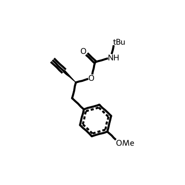 C#C[C@H](Cc1ccc(OC)cc1)OC(=O)NC(C)(C)C